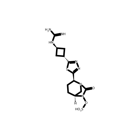 N=C(N)N[C@H]1C[C@H](c2nnc([C@@H]3CC[C@H]4CN3C(=O)N4OS(=O)(=O)O)s2)C1